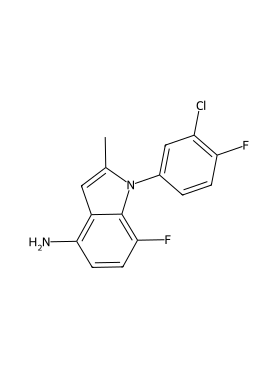 Cc1cc2c(N)ccc(F)c2n1-c1ccc(F)c(Cl)c1